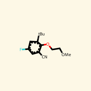 COCCOc1c(C#N)cc(F)cc1C(C)(C)C